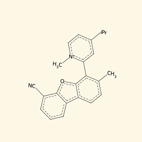 Cc1ccc2c(oc3c(C#N)cccc32)c1-c1cc(C(C)C)cc[n+]1C